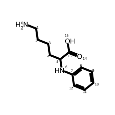 NCCCCC(Nc1ccccc1)C(=O)O